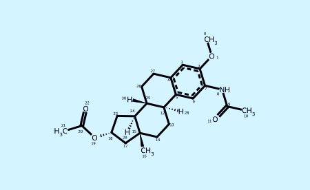 COc1cc2c(cc1NC(C)=O)[C@H]1CC[C@]3(C)C[C@H](OC(C)=O)C[C@H]3[C@@H]1CC2